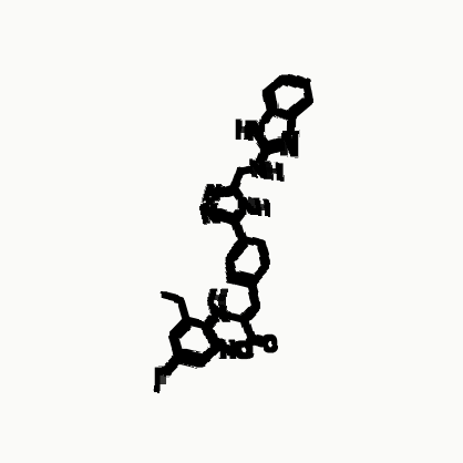 CCc1cc(F)cc(C)c1NC(Cc1ccc(-c2nnc(CNc3nc4ccccc4[nH]3)[nH]2)cc1)C(=O)O